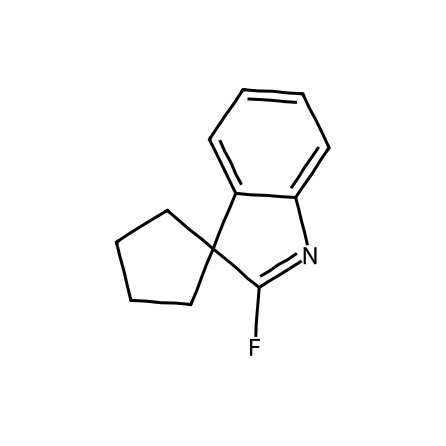 FC1=Nc2ccccc2C12CCCC2